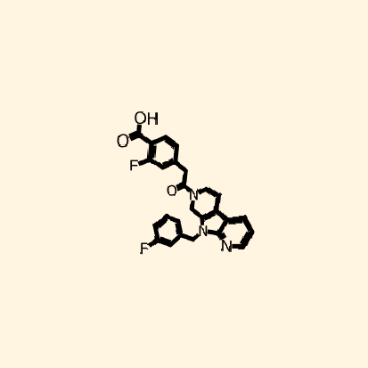 O=C(O)c1ccc(CC(=O)N2CCc3c(n(Cc4cccc(F)c4)c4ncccc34)C2)cc1F